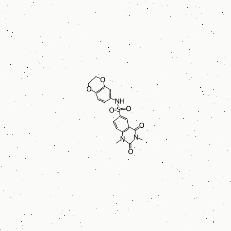 Cn1c(=O)c2cc(S(=O)(=O)Nc3ccc4c(c3)OCCO4)ccc2n(C)c1=O